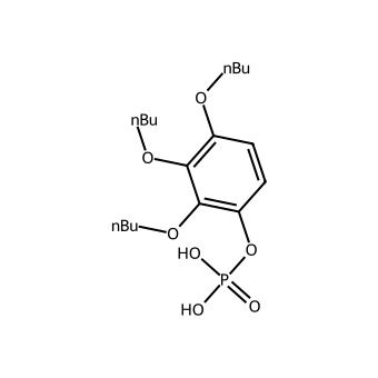 CCCCOc1ccc(OP(=O)(O)O)c(OCCCC)c1OCCCC